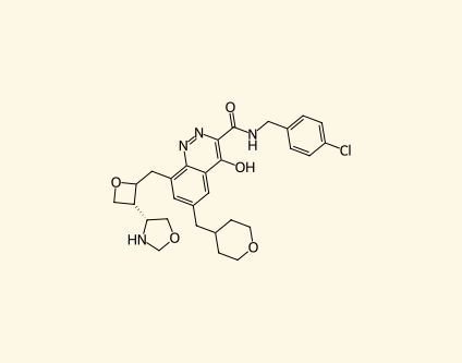 O=C(NCc1ccc(Cl)cc1)c1nnc2c(CC3OCC3[C@@H]3COCN3)cc(CC3CCOCC3)cc2c1O